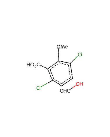 COc1c(Cl)ccc(Cl)c1C(=O)O.O=CO